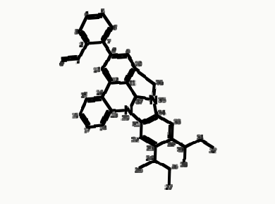 C=Cc1ccccc1-c1cc2c3c(c1)-c1ccccc1N1c4cc(C(C)CC)c(C(C)CC)cc4N(C2)C31